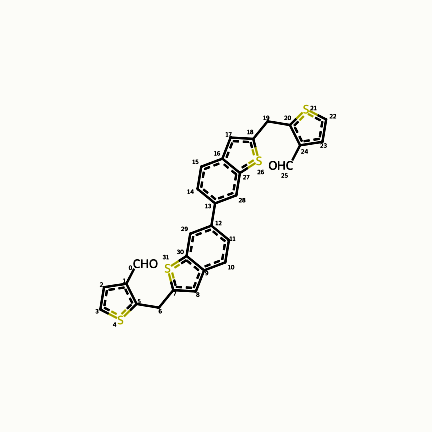 O=Cc1ccsc1Cc1cc2ccc(-c3ccc4cc(Cc5sccc5C=O)sc4c3)cc2s1